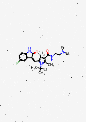 CCN(CC)CCNC(=O)c1c(C)c(/C=C2\C(=O)Nc3ccc(F)cc32)n(C(C)(C)CC)c1C